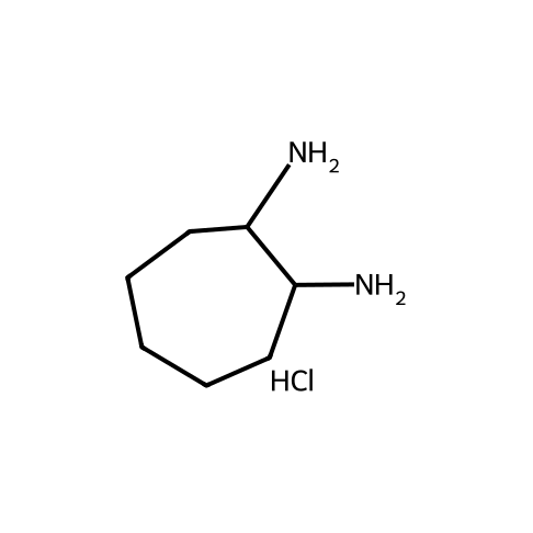 Cl.NC1CCCCCC1N